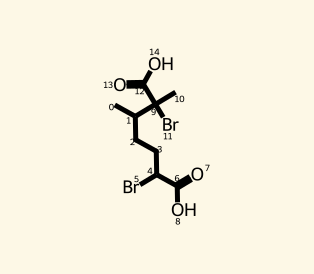 CC(CCC(Br)C(=O)O)C(C)(Br)C(=O)O